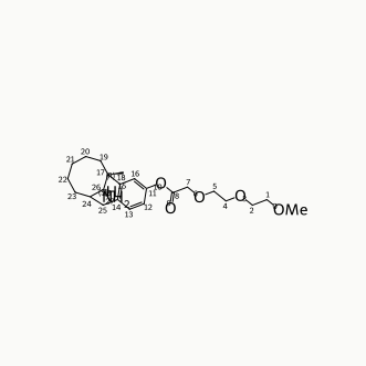 COCCOCCOCC(=O)Oc1ccc2c(c1)[C@@]1(C)CCCCCC(C2)[C@@H]1N